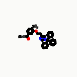 COC(=O)c1ccc([N+](=O)[O-])c(OCCc2cn(C(c3ccccc3)(c3ccccc3)c3ccccc3)cn2)c1